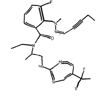 CCC#C/C=N\N(C)c1c(F)cccc1C(=O)N(CC)C(C)CNc1ncc(C(C)(F)F)cn1